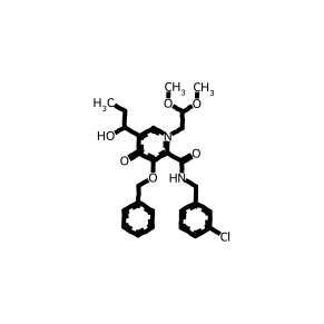 CCC(O)c1cn(CC(OC)OC)c(C(=O)NCc2cccc(Cl)c2)c(OCc2ccccc2)c1=O